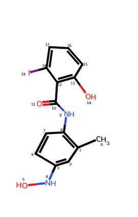 Cc1cc(NO)ccc1NC(=O)c1c(O)cccc1I